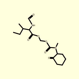 CCC(C)C(NC=O)C(=O)OCOC(=O)N(C)C1CCCCC1=O